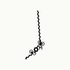 C=CCCCC(=O)Oc1ccc(CO[PH](=O)OCCCCCCCCCCCCCCCCCC)cc1